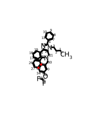 CCCCn1c(-c2ccccc2)nc(-c2ccccc2)c1CN(Cc1ccccc1)Cc1cccc(OC(F)F)c1